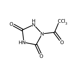 O=C(n1[nH]c(=O)[nH]c1=O)C(Cl)(Cl)Cl